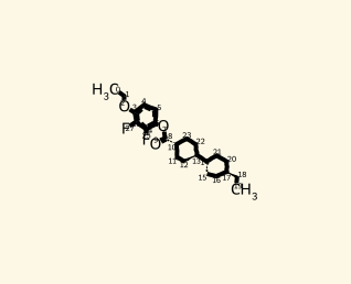 CCOc1ccc(OC(=O)[C@H]2CC[C@H]([C@H]3CC[C@H](CC)CC3)CC2)c(F)c1F